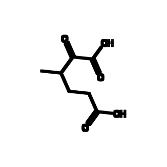 CC(CCC(=O)O)C(=O)C(=O)O